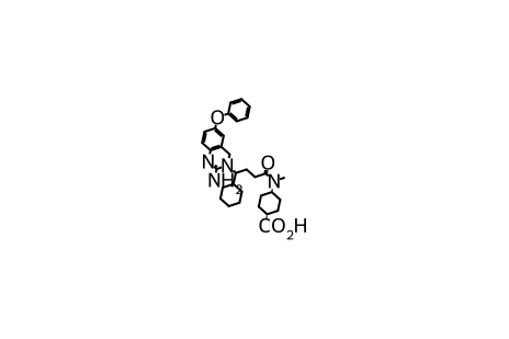 CN(C(=O)CCC(C1CCCCC1)N1Cc2cc(Oc3ccccc3)ccc2N=C1N)[C@H]1CC[C@@H](C(=O)O)CC1